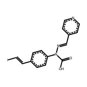 O=C(O)N(N=Cc1ccncc1)c1ccc(C=CI)cc1